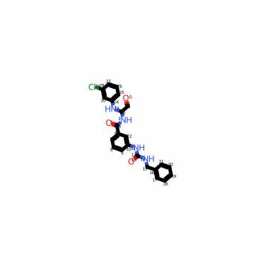 O=CC(NC(=O)c1cccc(NC(=O)NCc2ccccc2)c1)Nc1cccc(Cl)c1